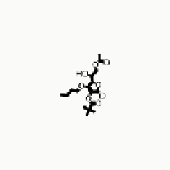 CCCCOC1=C(OC(=O)C(C)(C)C)C(=O)O[C@@H]1[C@@H](O)COC(C)=O